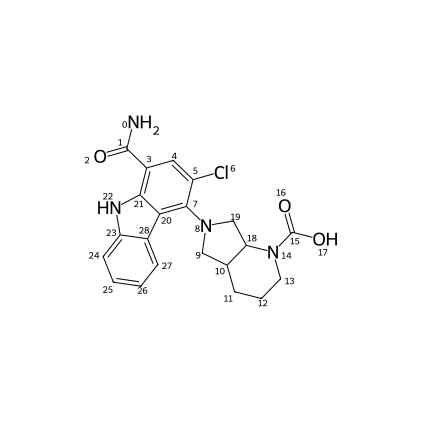 NC(=O)c1cc(Cl)c(N2CC3CCCN(C(=O)O)C3C2)c2c1[nH]c1ccccc12